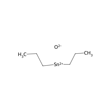 CC[CH2][Sn+2][CH2]CC.[O-2]